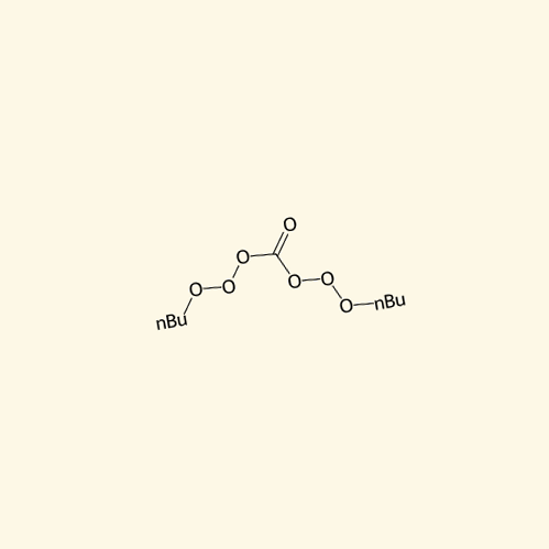 CCCCOOOC(=O)OOOCCCC